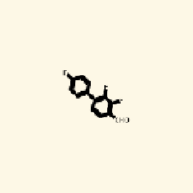 O=Cc1ccc(-c2ccc(F)cc2)c(F)c1F